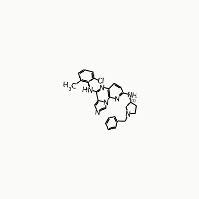 Cc1cccc(Cl)c1Nc1nc2ccc(N[C@H]3CCN(Cc4ccccc4)C3)nc2n2cncc12